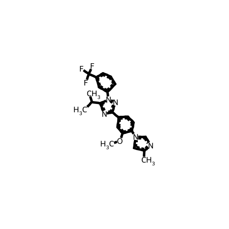 COc1cc(-c2nc(C(C)C)n(-c3cccc(C(F)(F)F)c3)n2)ccc1-n1cnc(C)c1